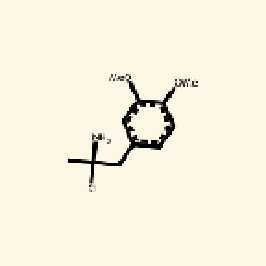 COc1ccc(CC(C)(N)Cl)cc1OC